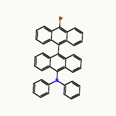 Brc1c2ccccc2c(-c2c3ccccc3c(N(c3ccccc3)c3ccccc3)c3ccccc23)c2ccccc12